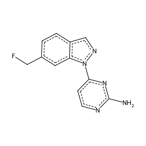 Nc1nccc(-n2ncc3ccc(CF)cc32)n1